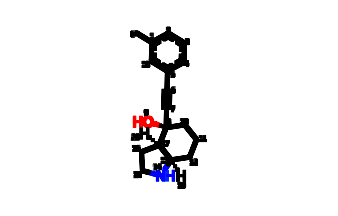 Cc1cccc(C#C[C@]2(O)CCC[C@H]3NCC[C@H]32)c1